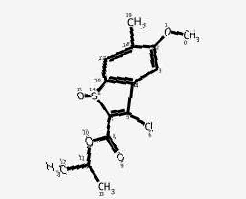 COc1cc2c(Cl)c(C(=O)OC(C)C)[s+]([O-])c2cc1C